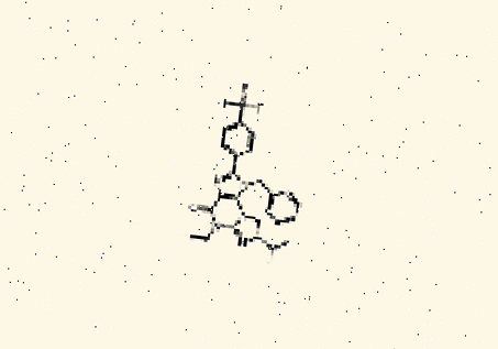 CCN1C(=O)c2nc(-c3ccc(C(F)(F)F)cc3)n(Cc3ccccc3)c2N2C[C@@H](C(C)C)N=C12